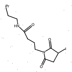 CC(C)CCNC(=O)CCCN1C(=O)CC(I)C1=O